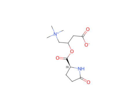 C[N+](C)(C)CC(CC(=O)[O-])OC(=O)[C@@H]1CCC(=O)N1